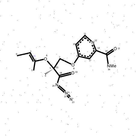 C/C=C(\C)O[C@@](C)(COc1ccnc(C(=O)NC)c1)C(=O)N=[N+]=[N-]